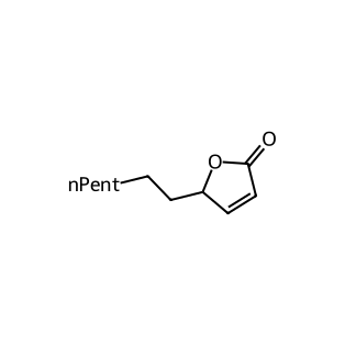 CCCCCCCC1C=CC(=O)O1